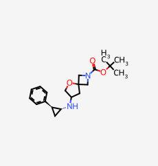 CC(C)(C)OC(=O)N1CC2(CC(N[C@@H]3C[C@H]3c3ccccc3)CO2)C1